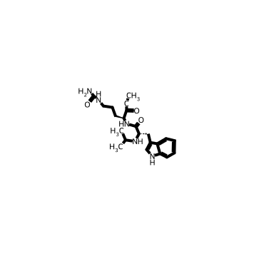 CCC(=O)[C@H](CCCNC(N)=O)NC(=O)[C@H](Cc1c[nH]c2ccccc12)NC(C)C